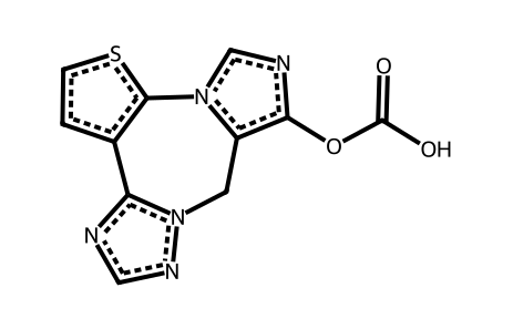 O=C(O)Oc1ncn2c1Cn1ncnc1-c1ccsc1-2